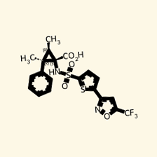 C[C@@H]1[C@](C)(c2ccccc2)[C@]1(NS(=O)(=O)c1ccc(-c2cc(C(F)(F)F)on2)s1)C(=O)O